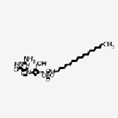 CCCCCCCCCCCCCCCCCCOP(=O)(O)OC[C@H]1C[C@@H](n2cnc3c(=O)[nH]c(N)nc32)[C@@H]1CO